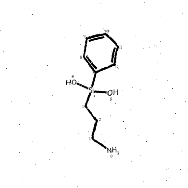 NCCC[Si](O)(O)c1ccccc1